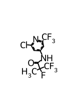 CC(F)(C(=O)Nc1cc(Cl)nc(C(F)(F)F)c1)C(F)(F)F